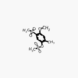 COc1cc(C)c(OS(C)(=O)=O)cc1S(C)(=O)=O